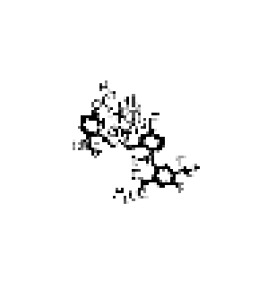 COC(=O)c1cc(F)c(C(F)(F)F)cc1Nc1ccc(F)cc1CN(CC(C)(C)c1nc(OC)ccc1[N+](=O)[O-])C(=O)OC(C)(C)C